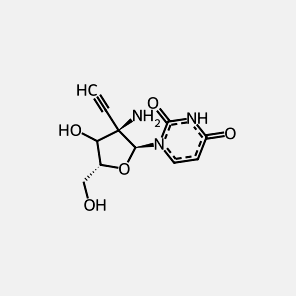 C#C[C@@]1(N)C(O)[C@@H](CO)O[C@@H]1n1ccc(=O)[nH]c1=O